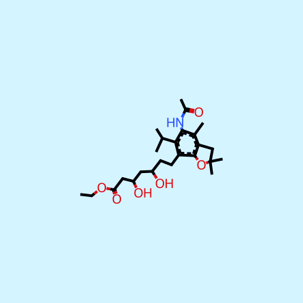 CCOC(=O)CC(O)CC(O)CCc1c2c(c(C)c(NC(C)=O)c1C(C)C)CC(C)(C)O2